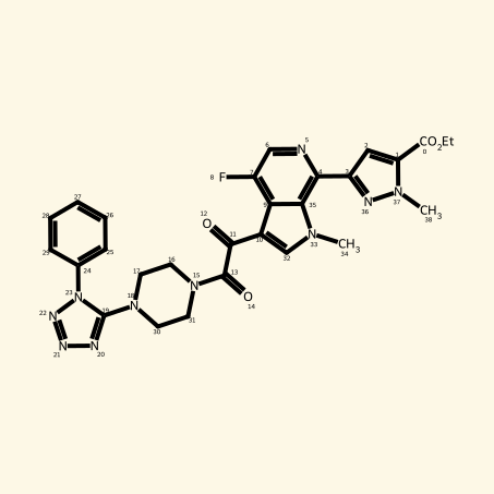 CCOC(=O)c1cc(-c2ncc(F)c3c(C(=O)C(=O)N4CCN(c5nnnn5-c5ccccc5)CC4)cn(C)c23)nn1C